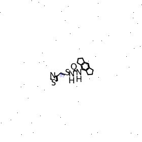 O=C(NS/C=C/c1cscn1)Nc1c2c(cc3c1CCC3)CCC2